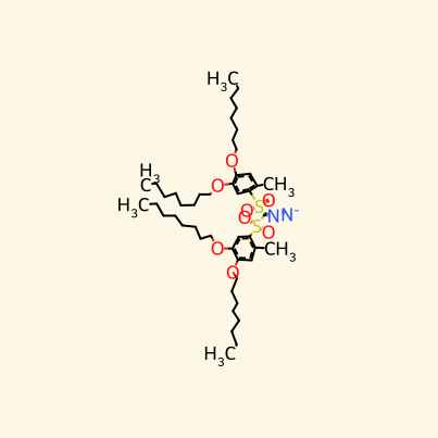 CCCCCCCCOc1cc(C)c(S(=O)(=O)C(=[N+]=[N-])S(=O)(=O)c2cc(OCCCCCCCC)c(OCCCCCCCC)cc2C)cc1OCCCCCCCC